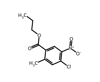 CCCOC(=O)c1cc([N+](=O)[O-])c(Cl)cc1C